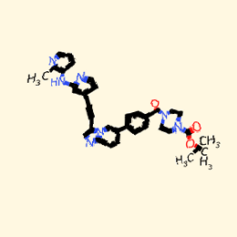 Cc1ncccc1Nc1cc(C#Cc2cnc3ccc(-c4ccc(C(=O)N5CCN(C(=O)OC(C)(C)C)CC5)cc4)cn23)ccn1